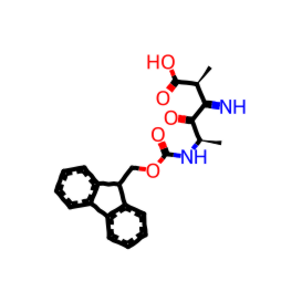 C[C@@H](C(=N)C(=O)[C@@H](C)NC(=O)OCC1c2ccccc2-c2ccccc21)C(=O)O